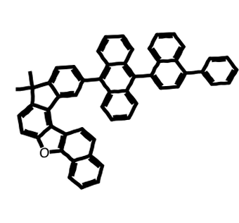 CC1(C)c2ccc(-c3c4ccccc4c(-c4ccc(-c5ccccc5)c5ccccc45)c4ccccc34)cc2-c2c1ccc1oc3c4ccccc4ccc3c21